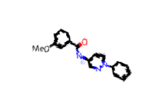 COc1cccc(C(=O)/N=c2\ccn(-c3ccccc3)nc2)c1